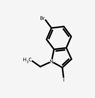 CCn1c(I)cc2ccc(Br)cc21